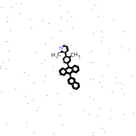 CC1C=C(c2c3ccccc3c(-c3ccc4ccccc4c3)c3ccccc23)CCC1C1C=CC=NC1C